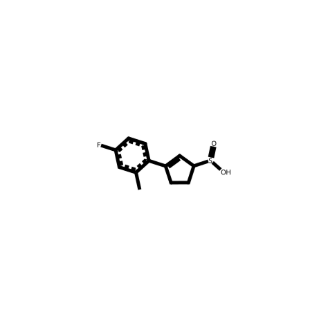 Cc1cc(F)ccc1C1=CC(S(=O)O)CC1